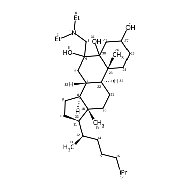 CCN(CC)CC1(O)C[C@H]2[C@@H]3CC[C@H]([C@H](C)CCCC(C)C)[C@@]3(C)CC[C@@H]2[C@@]2(C)CCC(O)CC12O